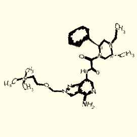 CCN1C[C@H](c2ccccc2)N(C(=O)C(=O)Nc2cnc(N)c3cn(COCC[Si](C)(C)C)nc23)C[C@H]1C